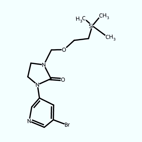 C[Si](C)(C)CCOCN1CCN(c2cncc(Br)c2)C1=O